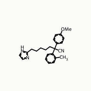 COc1ccc(C(C#N)(CCCCCc2ncc[nH]2)c2ccccc2C)cc1